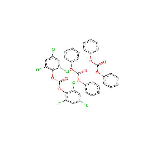 O=C(Oc1c(Cl)cc(Cl)cc1Cl)Oc1c(Cl)cc(Cl)cc1Cl.O=C(Oc1ccccc1)Oc1ccccc1.O=C(Oc1ccccc1)Oc1ccccc1